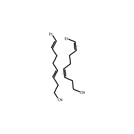 CC/C=C\CC/C=C\CCC#N.CCC=CCCC=CCCC#N